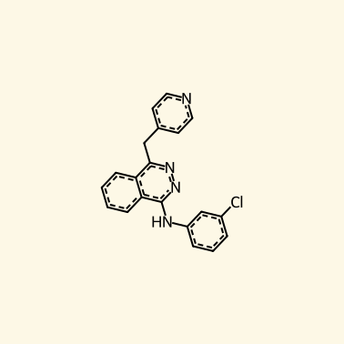 Clc1cccc(Nc2nnc(Cc3ccncc3)c3ccccc23)c1